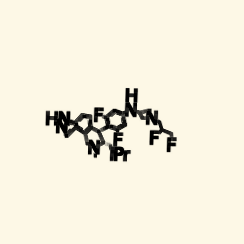 CC(C)C[C@H]1[C@H](c2c(F)cc(NC3CN(CC(F)CF)C3)cc2F)c2ccc3[nH]ncc3c2CN1C